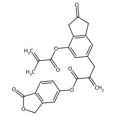 C=C(C)C(=O)Oc1cc(CC(=C)C(=O)Oc2ccc3c(c2)COC3=O)cc2c1CC(=O)C2